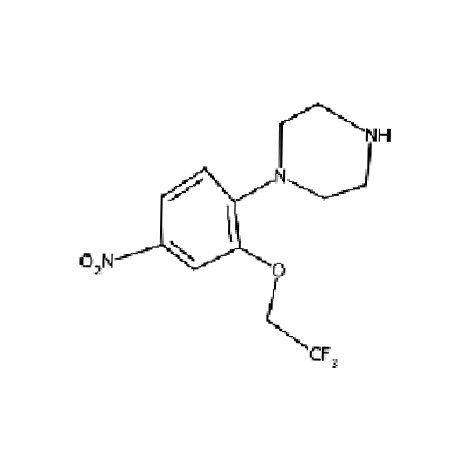 O=[N+]([O-])c1ccc(N2CCNCC2)c(OCC(F)(F)F)c1